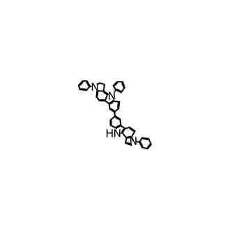 c1ccc(N2CCc3c2ccc2c4cc(-c5ccc6[nH]c7c(ccc8c7ccn8-c7ccccc7)c6c5)ccc4n(-c4ccccc4)c32)cc1